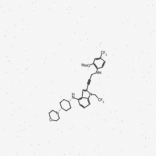 COc1cc(C(F)(F)F)ccc1NCC#Cc1cc2c(N[C@H]3CC[C@@H](N4CCOCC4)CC3)cccc2n1CC(F)(F)F